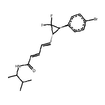 CC(C)C(C)NC(=O)C=CC=C[C@H]1[C@H](c2ccc(Br)cc2)C1(F)F